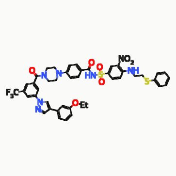 CCOc1cccc(-c2cnn(-c3cc(C(=O)N4CCN(c5ccc(C(=O)NS(=O)(=O)c6ccc(NCCSc7ccccc7)c([N+](=O)[O-])c6)cc5)CC4)cc(C(F)(F)F)c3)c2)c1